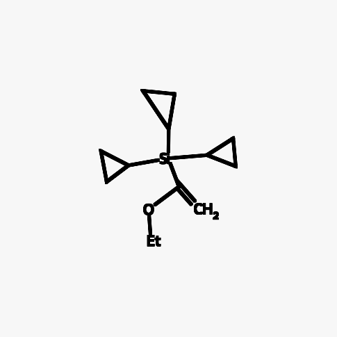 C=C(OCC)[Si](C1CC1)(C1CC1)C1CC1